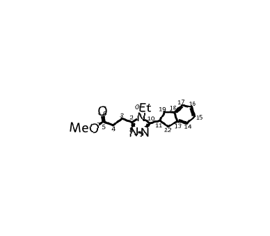 CCn1c(CCC(=O)OC)nnc1C1Cc2ccccc2C1